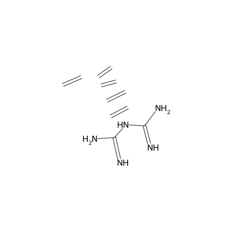 C=C.C=C.C=C.C=C.C=C.N=C(N)NC(=N)N